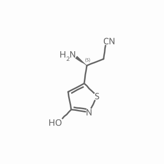 N#CC[C@H](N)c1cc(O)ns1